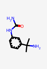 CC(C)(N)c1cccc(NC(N)=O)c1